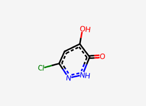 O=c1[nH]nc(Cl)cc1O